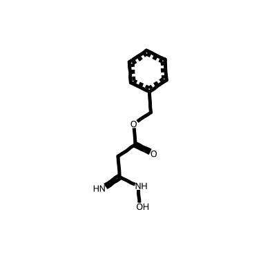 N=C(CC(=O)OCc1ccccc1)NO